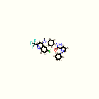 CN(c1cc(C(F)(F)F)nc2ccc(Cl)cc12)[C@H]1CC[C@@H](NC(=O)c2cccn2-c2ccccc2)CC1